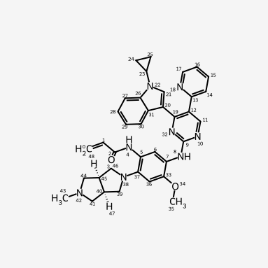 C=CC(=O)Nc1cc(Nc2ncc(-c3ccccn3)c(-c3cn(C4CC4)c4ccccc34)n2)c(OC)cc1N1C[C@H]2CN(C)C[C@H]2C1